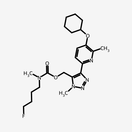 Cc1nc(-c2nnn(C)c2COC(=O)N(C)CCCCF)ccc1OC1CCCCC1